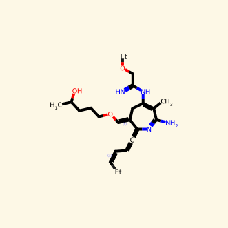 CC/C=C\C=C=C1N=C(N)C(C)=C(NC(=N)COCC)C/C1=C\OCCCC(C)O